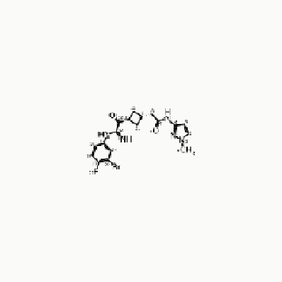 Cn1ccc(NC(=O)C[C@H]2C[C@H](C(=O)C(=N)Nc3ccc(F)c(Br)c3)C2)n1